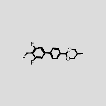 CC1COC(c2ccc(-c3cc(F)c(CF)c(F)c3)cc2)OC1